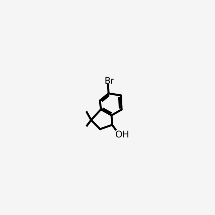 CC1(C)CC(O)c2ccc(Br)cc21